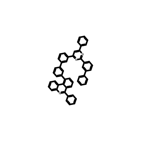 c1ccc(-c2cccc(-c3nc(-c4ccccc4)cc(-c4cccc(-c5cccc(-c6cccc7c(-c8ccccc8)nc8ccccc8c67)c5)c4)n3)c2)cc1